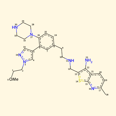 COCCn1cc(-c2cc(CCNCc3sc4nc(C)ccc4c3N)ccc2N2CCNCC2)cn1